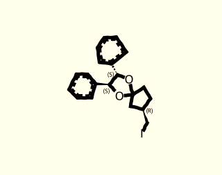 IC[C@@H]1CCC2(C1)O[C@@H](c1ccccc1)[C@H](c1ccccc1)O2